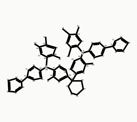 Cc1cc(C)c(N(c2ccc(-c3ccccc3)cc2)c2ccc(C3(c4ccc(N(c5ccc(-c6ccccc6)cc5)c5cc(C)c(C)cc5C)c(C)c4)CCCCC3)cc2C)cc1C